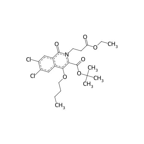 CCCCOc1c(C(=O)OC(C)(C)C)n(CCC(=O)OCC)c(=O)c2cc(Cl)c(Cl)cc12